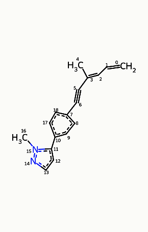 C=C/C=C(\C)C#Cc1ccc(-c2ccnn2C)cc1